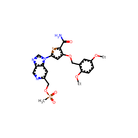 CCOc1ccc(OCC)c(COc2cc(-n3cnc4cnc(COS(C)(=O)=O)cc43)sc2C(N)=O)c1